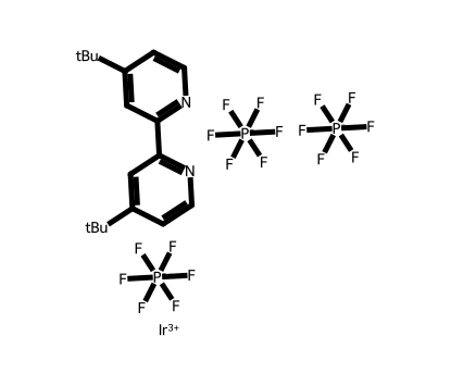 CC(C)(C)c1ccnc(-c2cc(C(C)(C)C)ccn2)c1.F[P-](F)(F)(F)(F)F.F[P-](F)(F)(F)(F)F.F[P-](F)(F)(F)(F)F.[Ir+3]